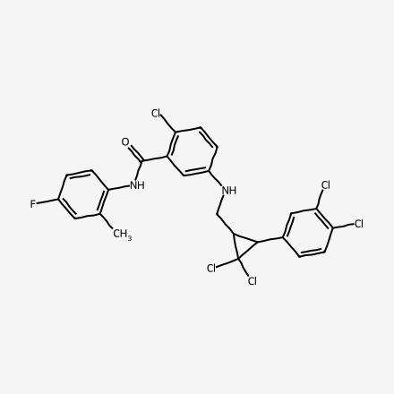 Cc1cc(F)ccc1NC(=O)c1cc(NCC2C(c3ccc(Cl)c(Cl)c3)C2(Cl)Cl)ccc1Cl